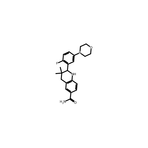 CC1(C)Cc2cc(C(N)=O)ccc2NC1c1cc(N2CCOCC2)ccc1F